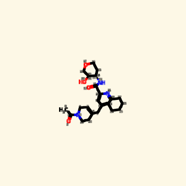 CC(=O)N1CC=C(Cc2cc(C(=O)N[C@H]3CCOC[C@@H]3O)nc3c2CCCC3)CC1